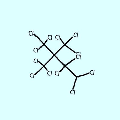 Cl[C](Cl)C(Cl)(Cl)C(C(Cl)(Cl)Cl)(C(Cl)(Cl)Cl)C(Cl)(Cl)Cl